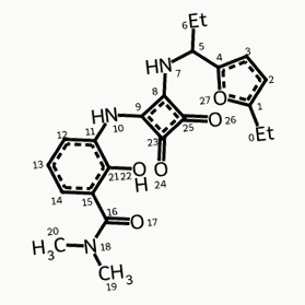 CCc1ccc(C(CC)Nc2c(Nc3cccc(C(=O)N(C)C)c3O)c(=O)c2=O)o1